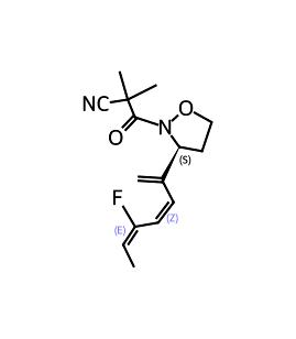 C=C(/C=C\C(F)=C/C)[C@@H]1CCON1C(=O)C(C)(C)C#N